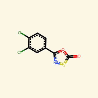 O=c1oc(-c2ccc(Cl)c(Cl)c2)ns1